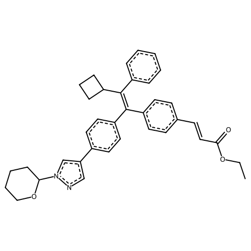 CCOC(=O)/C=C/c1ccc(/C(=C(\c2ccccc2)C2CCC2)c2ccc(-c3cnn(C4CCCCO4)c3)cc2)cc1